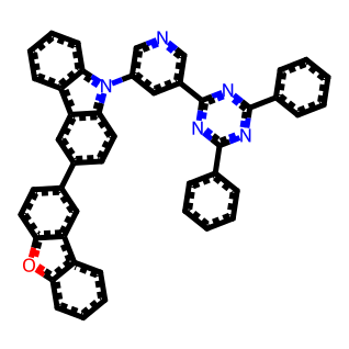 c1ccc(-c2nc(-c3ccccc3)nc(-c3cncc(-n4c5ccccc5c5cc(-c6ccc7oc8ccccc8c7c6)ccc54)c3)n2)cc1